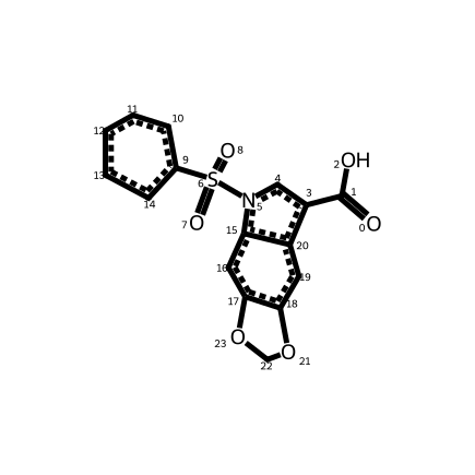 O=C(O)c1cn(S(=O)(=O)c2ccccc2)c2cc3c(cc12)OCO3